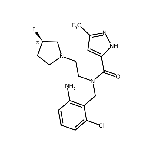 Nc1cccc(Cl)c1CN(CCN1CC[C@@H](F)C1)C(=O)c1cc(C(F)(F)F)n[nH]1